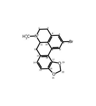 CN1CCc2cc(Br)cc3c2C1Cc1ccc2c(c1-3)OCO2